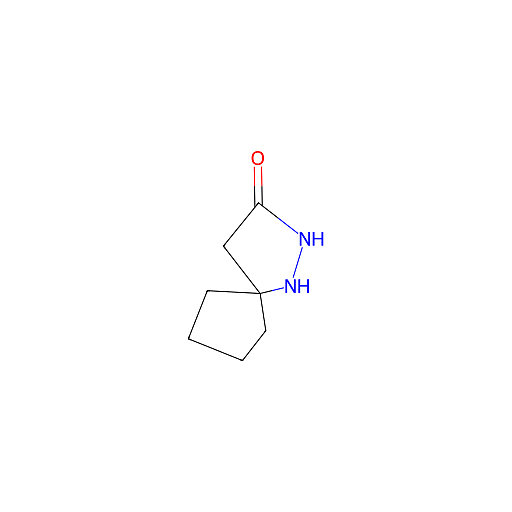 O=C1CC2(CCCC2)NN1